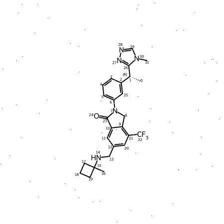 C[C@H](c1cccc(N2Cc3c(cc(CNC4(C)CCC4)cc3C(F)(F)F)C2=O)c1)c1nncn1C